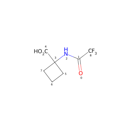 O=C(NC1(C(=O)O)CCC1)C(F)(F)F